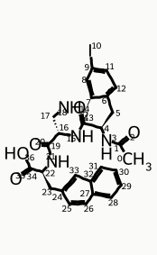 CC(=O)N[C@H](Cc1ccc(I)cc1)C(=O)N[C@@H](CN)C(=O)N[C@@H](Cc1ccc2ccccc2c1)C(=O)O